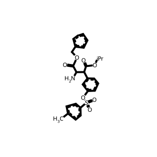 Cc1ccc(S(=O)(=O)Oc2cccc(C(C(=O)OC(C)C)C(N)C(=O)OCc3ccccc3)c2)cc1